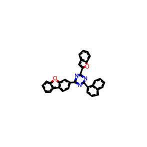 c1ccc2oc(-c3nc(-c4ccc5c(c4)oc4ccccc45)nc(-c4cccc5ccccc45)n3)cc2c1